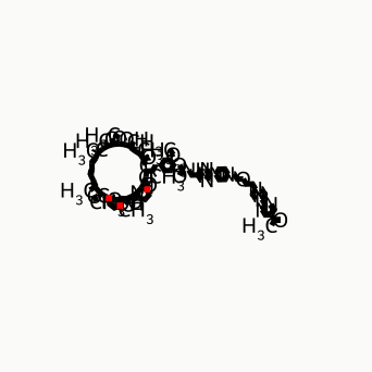 CO[C@H]1C[C@@H]2CC[C@@H](C)[C@@](O)(O2)C(=O)C(=O)N2CCCC[C@H]2C(=O)O[C@H]([C@H](C)C[C@@H]2CC[C@@H](OC(=O)NCc3cnc(N4CCN(CCOCCN5CCN(c6ncc(C(C)=O)cn6)CC5)CC4)nc3)[C@H](OC)C2)CC(=O)[C@H](C)/C=C(\C)[C@@H](O)[C@@H](OC)C(=O)[C@H](C)C[C@H](C)/C=C/C=C/C=C/1C